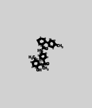 Cc1ccc(-c2ccccc2C(=O)Nc2ccc(C(=O)N(C)c3cc(C)ccc3O)cc2)cc1